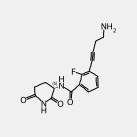 NCCC#Cc1cccc(C(=O)N[C@H]2CCC(=O)NC2=O)c1F